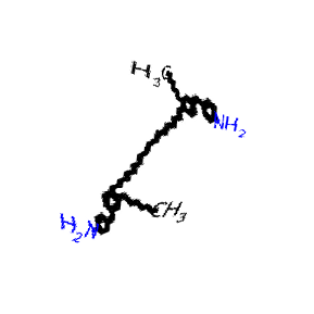 CCCCCCCc1cc(Cc2ccc(N)cc2)ccc1CCCCCCCCCCCCCCCCCCCc1ccc(Cc2ccc(N)cc2)cc1CCCCCCC